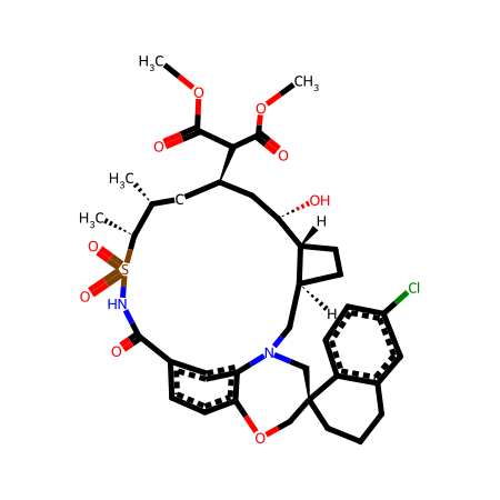 COC(=O)C(C(=O)OC)[C@@H]1C[C@@H](C)[C@@H](C)S(=O)(=O)NC(=O)c2ccc3c(c2)N(C[C@@H]2CC[C@H]2[C@@H](O)C1)C[C@@]1(CCCc2cc(Cl)ccc21)CO3